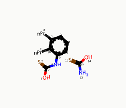 CCCc1cccc(NC(O)=S)c1CCC.NC(O)=S